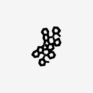 Cc1ccccc1N(c1ccccc1C)c1c2ccccc2cc2c1c1cccc3c4c(N(c5ccccc5C)c5ccccc5C)c5ccccc5cc4n2c13